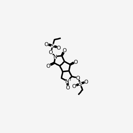 CCS(=O)(=O)OC1C2C(=O)C3C(=O)N(OS(=O)(=O)CC)C(=O)C3C2C[N+]1=O